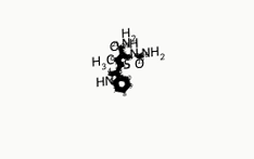 Cc1c(-c2c[nH]c3ccccc23)sc(NC(N)=O)c1C(N)=O